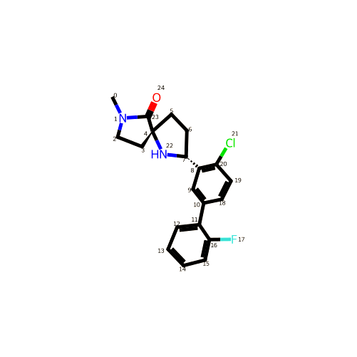 CN1CC[C@]2(CC[C@H](c3cc(-c4ccccc4F)ccc3Cl)N2)C1=O